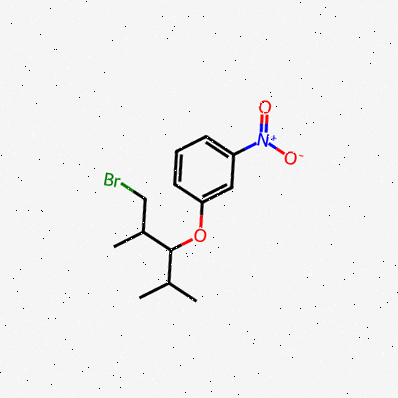 CC(C)C(Oc1cccc([N+](=O)[O-])c1)C(C)CBr